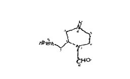 CCCCCCC1CNCCN1[C]=O